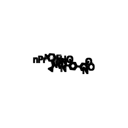 CCC[C@]1(C)CC[C@H](F)[C@H](N(c2cnc(-c3ccc(-c4cnc5c(c4)OCO5)cc3O)nn2)C2CC2)C1